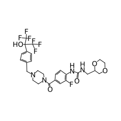 O=C(NCC1COCCO1)Nc1ccc(C(=O)N2CCN(Cc3ccc(C(O)(C(F)(F)F)C(F)(F)F)cc3)CC2)cc1F